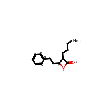 CCCCCCCCCCCCC1C(=O)OC1CCc1ccccc1